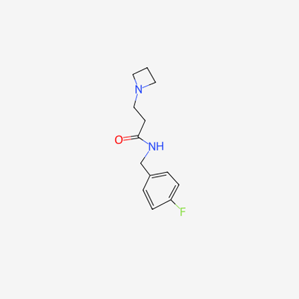 O=C(CCN1CCC1)NCc1ccc(F)cc1